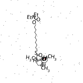 CCN(CC)C(=O)OCCCCCCCCCCCS[C@@H]1O[C@@H]2O[C@]3(C)CC[C@H]4[C@H](C)CC[C@@H]([C@H]1C)[C@@]24OO3